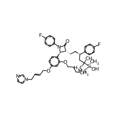 CCCCOc1cc(OC/C=C/Cn2ccnc2)ccc1[C@@H]1[C@@H](CC[C@H](CC(C)(C)[Si](C)(C)O)c2ccc(F)cc2)C(=O)N1c1ccc(F)cc1